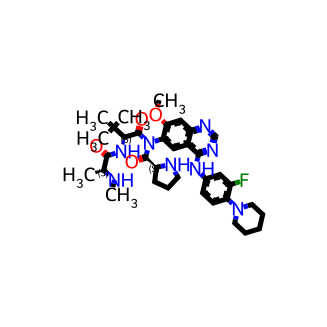 CN[C@@H](C)C(=O)N[C@H](C(=O)N(C(=O)[C@@H]1CCCN1)c1cc2c(Nc3ccc(N4CCCCC4)c(F)c3)ncnc2cc1OC)C(C)(C)C